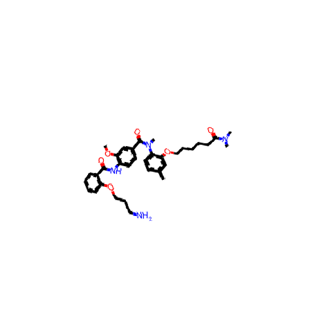 COc1cc(C(=O)N(C)c2ccc(C)cc2OCCCCCC(=O)N(C)C)ccc1NC(=O)c1ccccc1OCCCN